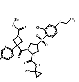 CC(C)(C)OC(=O)N1CC(C(=O)N2CC(S(=O)(=O)c3ccc(OCC(F)(F)F)cc3Cl)C[C@H]2C(=O)NC2(C#N)CC2)(c2ccc(Br)cn2)C1